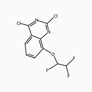 FC(F)C(F)Oc1cccc2c(Cl)nc(Cl)nc12